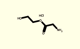 Cl.NCC(=O)OCCO